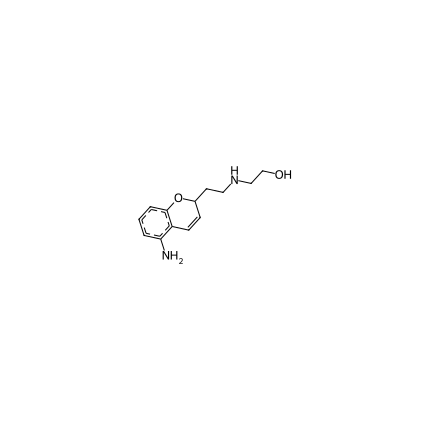 Nc1cccc2c1C=CC(CCNCCO)O2